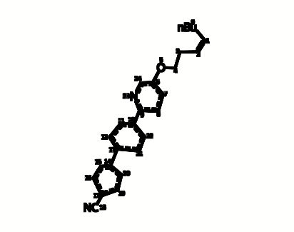 CCCC/C=C\CCOc1ccc(-c2ccc(-c3ccc(C#N)cc3)cc2)nc1